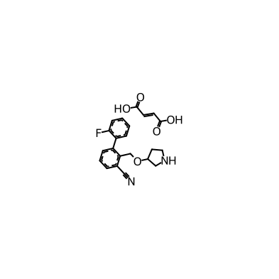 N#Cc1cccc(-c2ccccc2F)c1COC1CCNC1.O=C(O)C=CC(=O)O